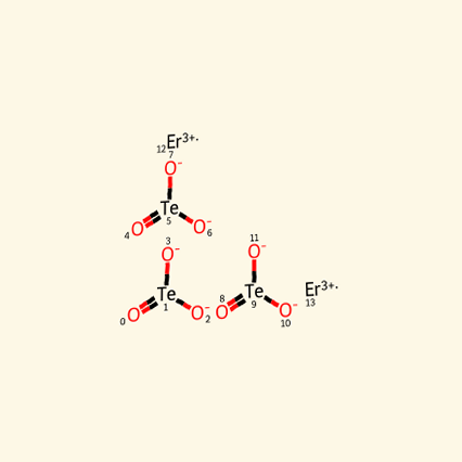 O=[Te]([O-])[O-].O=[Te]([O-])[O-].O=[Te]([O-])[O-].[Er+3].[Er+3]